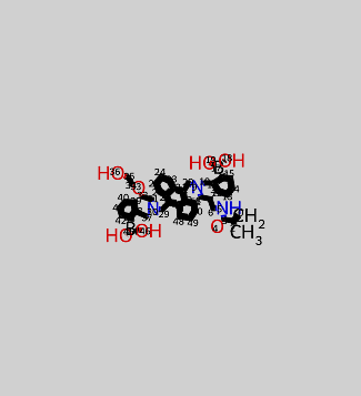 C=C(C)C(=O)NCCCN(Cc1ccccc1B(O)O)Cc1c2ccccc2c(CN(CCOCCO)Cc2ccccc2B(O)O)c2ccccc12